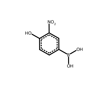 O=[N+]([O-])c1cc(B(O)O)ccc1O